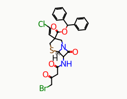 O=C(CBr)CC(=O)NC1C(=O)N2CC(C=CCl)(C(=O)OC(c3ccccc3)c3ccccc3)CS[C@H]12